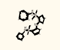 C[Si](C)(Nc1ccccc1)C1=[C]([Zr][C]2=C([Si](C)(C)Nc3ccccc3)C=CC2)CC=C1